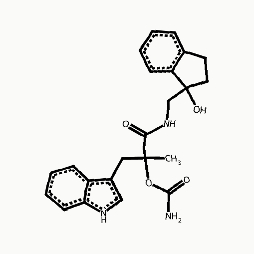 CC(Cc1c[nH]c2ccccc12)(OC(N)=O)C(=O)NCC1(O)CCc2ccccc21